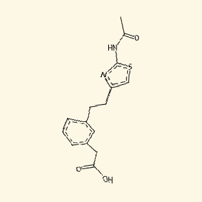 CC(=O)Nc1nc(CCc2cccc(CC(=O)O)c2)cs1